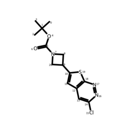 CC(C)(C)OC(=O)N1CC(c2cc3cc(Cl)nnc3s2)C1